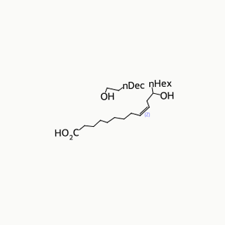 CCCCCCC(O)C/C=C\CCCCCCCC(=O)O.CCCCCCCCCCCCO